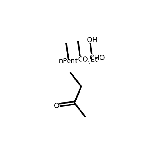 CCC(C)=O.CCCCCC.CCOC(C)=O.O=CO